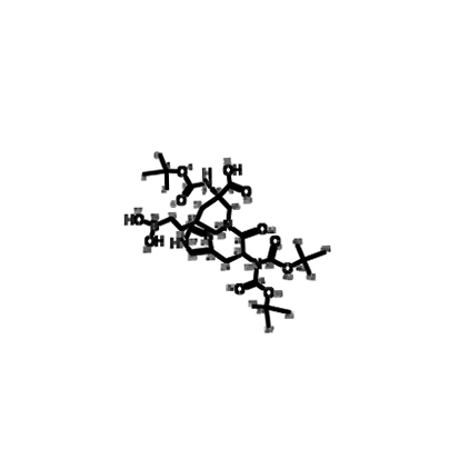 CC(C)(C)OC(=O)N[C@]1(C(=O)O)C[C@H](CCB(O)O)CN(C(=O)[C@H](Cc2c[nH]cn2)N(C(=O)OC(C)(C)C)C(=O)OC(C)(C)C)C1